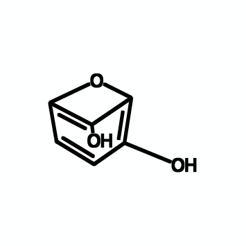 Oc1ccc2c(O)c1O2